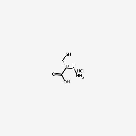 Cl.NN[C@@H](CS)C(=O)O